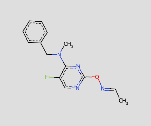 C/C=N/Oc1ncc(F)c(N(C)Cc2ccccc2)n1